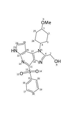 COC1CCC(n2c(CO)nc3c(S(=O)(=O)c4ccccc4)nc4[nH]ccc4c32)CC1